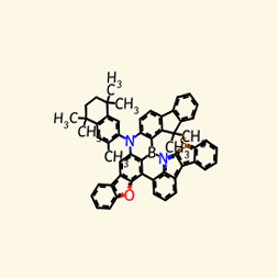 Cc1cc2c(cc1N1c3ccc4c(c3B3c5c1cc1c(oc6ccccc61)c5-c1cccc5c6c7ccccc7sc6n3c15)C(C)(C)c1ccccc1-4)C(C)(C)CCC2(C)C